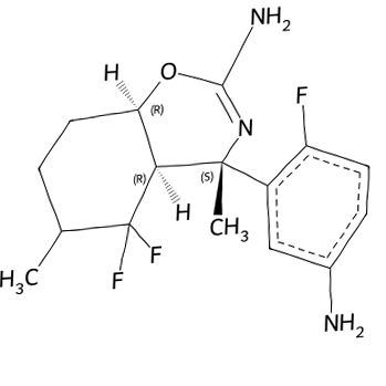 CC1CC[C@H]2OC(N)=N[C@](C)(c3cc(N)ccc3F)[C@H]2C1(F)F